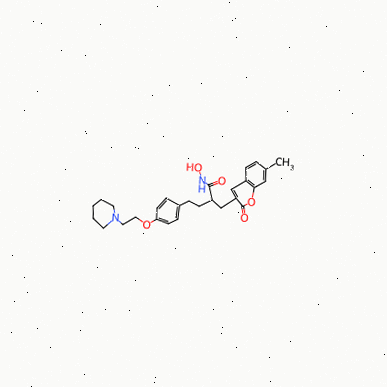 Cc1ccc2cc(CC(CCc3ccc(OCCN4CCCCC4)cc3)C(=O)NO)c(=O)oc2c1